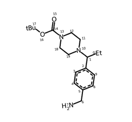 CCC(c1ccc(CN)cc1)N1CCN(C(=O)OC(C)(C)C)CC1